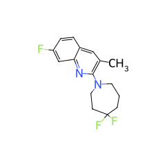 Cc1cc2ccc(F)cc2nc1N1CCCC(F)(F)CC1